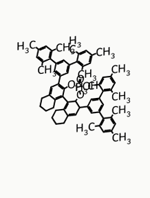 Cc1cc(C)c(-c2cc(-c3cc4c(c5c3OP(=O)(O)OC3C5=C5CCCCC5=CC3c3cc(-c5c(C)cc(C)cc5C)cc(-c5c(C)cc(C)cc5C)c3)CCCC4)cc(-c3c(C)cc(C)cc3C)c2)c(C)c1